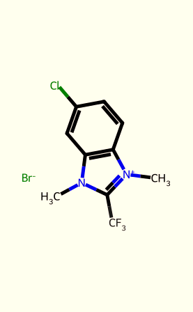 Cn1c(C(F)(F)F)[n+](C)c2ccc(Cl)cc21.[Br-]